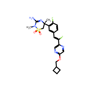 CN1C(N)=N[C@](C)(c2cc(/C=C(\F)c3cnc(OCC4CCC4)cn3)ccc2F)CS1(=O)=O